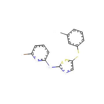 O=C(O)c1cccc(Sc2cnc(Nc3cccc(Br)n3)s2)c1